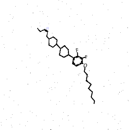 CC/C=C\CC1CCC(C2CCC(c3ccc(OCCCCCCCCC)c(F)c3F)CC2)CC1